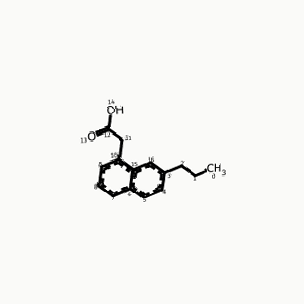 CCCc1ccc2cccc(CC(=O)O)c2c1